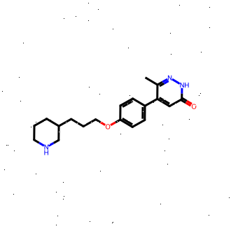 Cc1n[nH]c(=O)cc1-c1ccc(OCCCC2CCCNC2)cc1